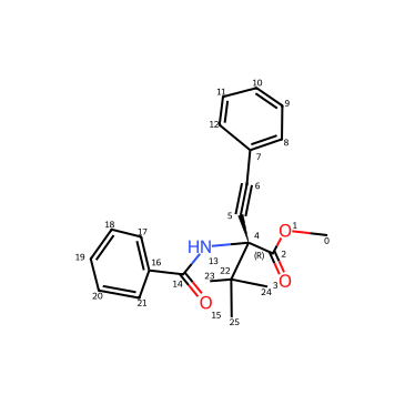 COC(=O)[C@@](C#Cc1ccccc1)(NC(=O)c1ccccc1)C(C)(C)C